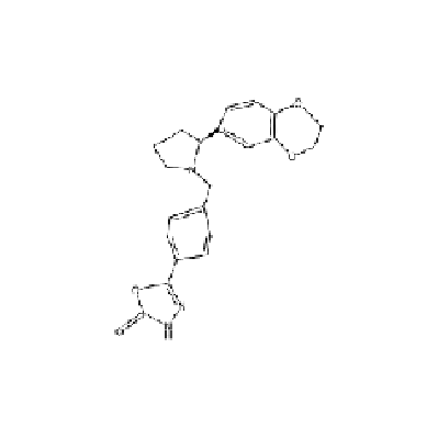 O=c1[nH]nc(-c2ccc(CN3CCC[C@H]3c3ccc4c(c3)OCCO4)cc2)o1